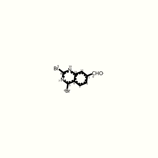 O=[C]c1ccc2c(Br)nc(Br)nc2c1